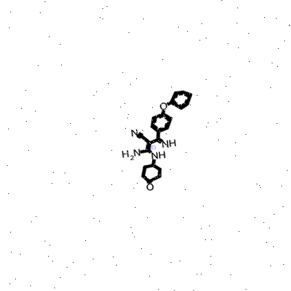 N#C/C(C(=N)c1ccc(Oc2ccccc2)cc1)=C(\N)NC1CCC(=O)CC1